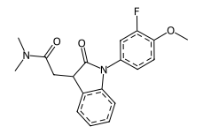 COc1ccc(N2C(=O)C(CC(=O)N(C)C)c3ccccc32)cc1F